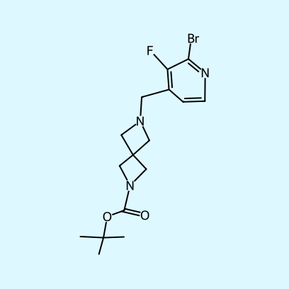 CC(C)(C)OC(=O)N1CC2(CN(Cc3ccnc(Br)c3F)C2)C1